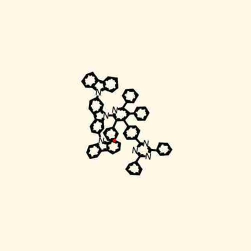 c1ccc(-c2nc(-c3ccccc3)nc(-c3ccc(-c4c(-c5ccccc5)c(-c5ccccc5)nc(-n5c6cc(-n7c8ccccc8c8ccccc87)ccc6c6ccc(-n7c8ccccc8c8ccccc87)cc65)c4-c4ccccc4)cc3)n2)cc1